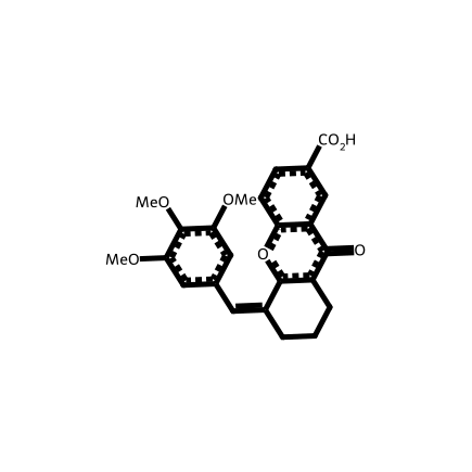 COc1cc(/C=C2/CCCc3c2oc2ccc(C(=O)O)cc2c3=O)cc(OC)c1OC